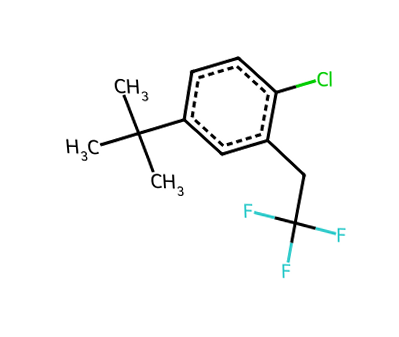 CC(C)(C)c1ccc(Cl)c(CC(F)(F)F)c1